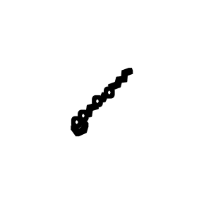 CCCCCCOCCOCCCOC1CCCCO1